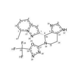 Cc1cccc2cc([C@@H]3c4nc[nH]c4CCN3c3nnc(C(F)(F)F)o3)nn12